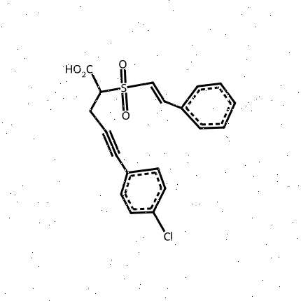 O=C(O)C(CC#Cc1ccc(Cl)cc1)S(=O)(=O)C=Cc1ccccc1